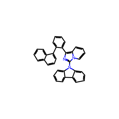 c1ccc(-c2nc(-n3c4ccccc4c4ccccc43)n3ccccc23)c(-c2cccc3ccccc23)c1